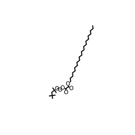 CCCCCCCCCCCCCCCCCCCCCCOC(=O)C(=O)OOOC(C)(C)CC(C)(C)C